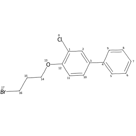 Clc1cc(-c2ccccc2)ccc1OCCCBr